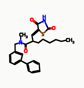 CCCCCCC(C=C1SC(=O)NC1=O)C(=O)N(C)Cc1cccc(-c2ccccc2)c1